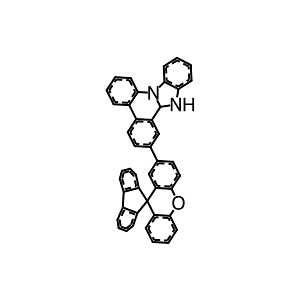 c1ccc2c(c1)NC1c3cc(-c4ccc5c(c4)C4(c6ccccc6O5)c5ccccc5-c5ccccc54)ccc3-c3ccccc3N21